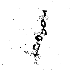 CC(N)C(=O)N1CCN(c2ccc(Nc3nccc(-c4ccc(NC(=O)C5CC5)cc4)n3)cc2)CC1